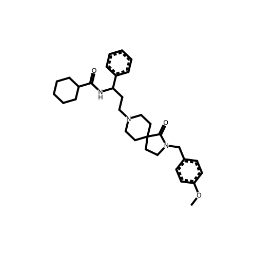 COc1ccc(CN2CCC3(CCN(CCC(NC(=O)C4CCCCC4)c4ccccc4)CC3)C2=O)cc1